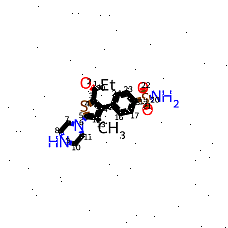 CCC(=O)c1sc(N2CCNCC2)c(C)c1-c1ccc(S(N)(=O)=O)cc1